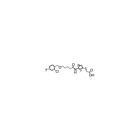 O=C(O)CSc1cnc(NC(=O)CCCCOCc2ccc(F)cc2Cl)s1